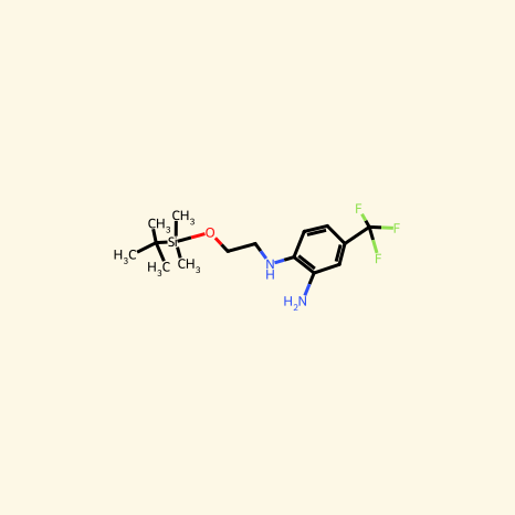 CC(C)(C)[Si](C)(C)OCCNc1ccc(C(F)(F)F)cc1N